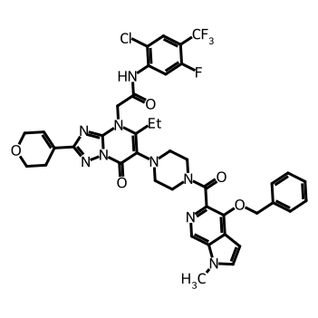 CCc1c(N2CCN(C(=O)c3ncc4c(ccn4C)c3OCc3ccccc3)CC2)c(=O)n2nc(C3=CCOCC3)nc2n1CC(=O)Nc1cc(F)c(C(F)(F)F)cc1Cl